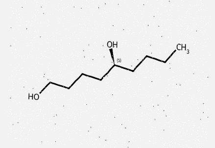 CCCC[C@H](O)CCCCO